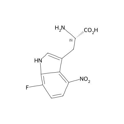 N[C@@H](Cc1c[nH]c2c(F)ccc([N+](=O)[O-])c12)C(=O)O